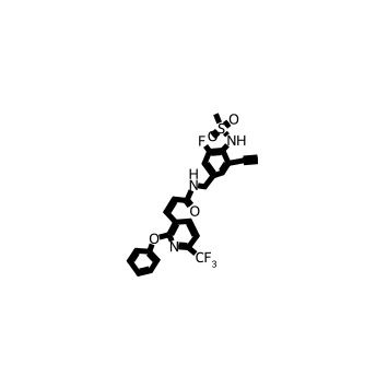 C#Cc1cc(CNC(=O)/C=C\c2ccc(C(F)(F)F)nc2Oc2ccccc2)cc(F)c1NS(C)(=O)=O